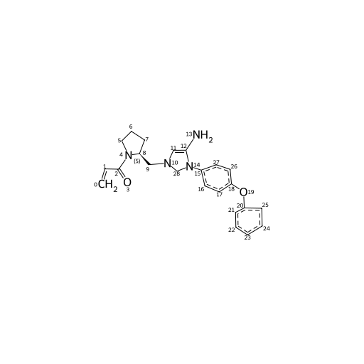 C=CC(=O)N1CCC[C@H]1CN1C=C(N)N(c2ccc(Oc3ccccc3)cc2)C1